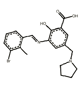 Cc1c(Br)cccc1/C=N/c1cc(CN2CCCC2)cc(C(=O)O)c1O